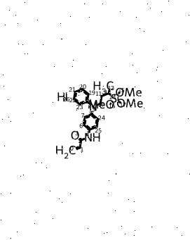 C=CC(=O)Nc1ccc(N(CCC(C)[Si](OC)(OC)OC)c2ccccc2)cc1.I